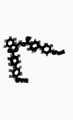 CCCCCC1CCC(c2ccc(C(=O)OCC(OC(=O)c3ccc(C4CCC(CCCCC)CC4)cc3)C3CCCCC3)cc2)CC1